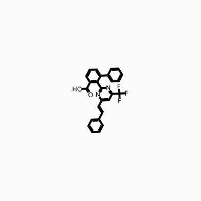 O=C(O)c1cccc(-c2ccccc2)c1-c1nc(/C=C/c2ccccc2)cc(C(F)(F)F)n1